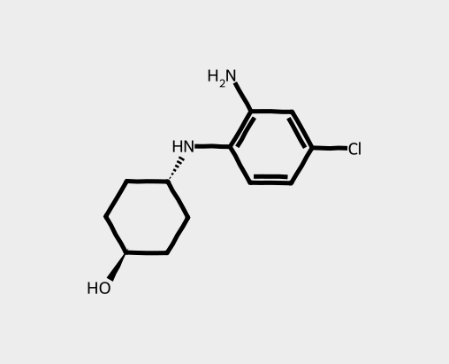 Nc1cc(Cl)ccc1N[C@H]1CC[C@H](O)CC1